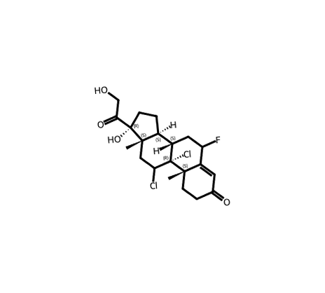 C[C@]12CCC(=O)C=C1C(F)C[C@H]1[C@@H]3CC[C@](O)(C(=O)CO)[C@@]3(C)CC(Cl)[C@@]12Cl